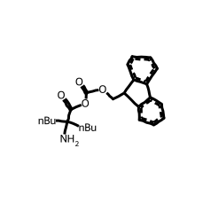 CCCCC(N)(CCCC)C(=O)OC(=O)OCC1c2ccccc2-c2ccccc21